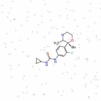 CC1[N]CCO[C@@]1(c1ccc(NC(=O)NC2CC2)cc1F)C(C)(C)C